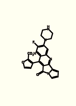 O=C(O)c1occc1-c1c2c(nc3cc(N4CCNCC4)c(F)cc13)-c1cccn1C2=O